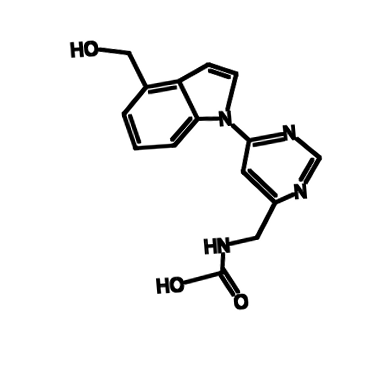 O=C(O)NCc1cc(-n2ccc3c(CO)cccc32)ncn1